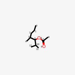 CCCC(C)C(OC(C)=O)C(C)C